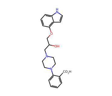 O=C(O)c1ccccc1N1CCN(CC(O)COc2cccc3[nH]ccc23)CC1